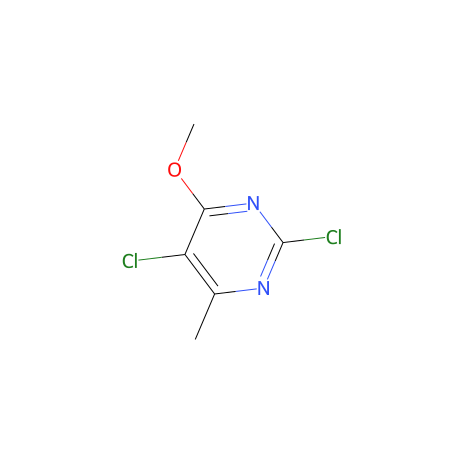 COc1nc(Cl)nc(C)c1Cl